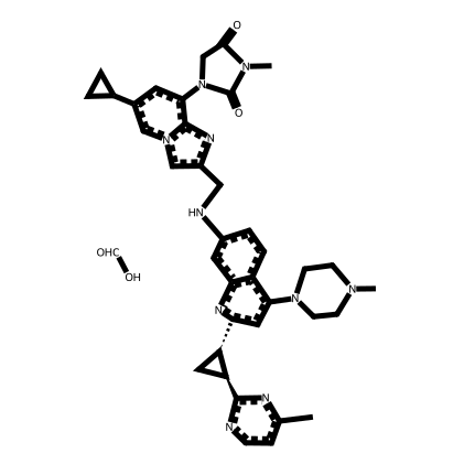 Cc1ccnc([C@H]2C[C@@H]2c2cc(N3CCN(C)CC3)c3ccc(NCc4cn5cc(C6CC6)cc(N6CC(=O)N(C)C6=O)c5n4)cc3n2)n1.O=CO